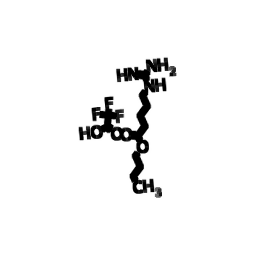 CCCCOC(=O)CCCCNC(=N)N.O=C(O)C(F)(F)F